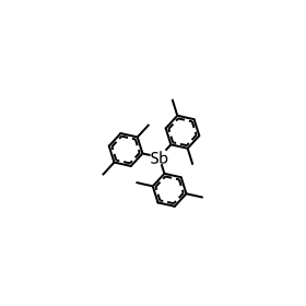 Cc1ccc(C)[c]([Sb]([c]2cc(C)ccc2C)[c]2cc(C)ccc2C)c1